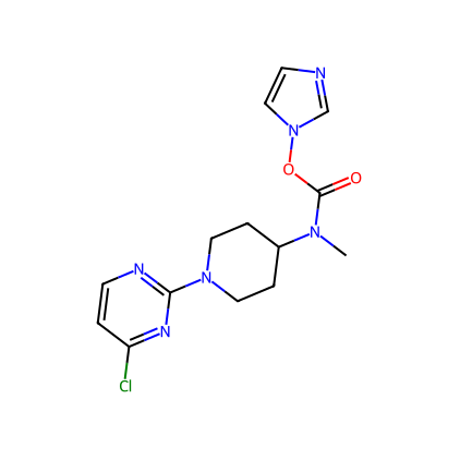 CN(C(=O)On1ccnc1)C1CCN(c2nccc(Cl)n2)CC1